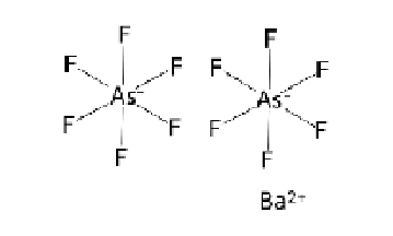 F[As-](F)(F)(F)(F)F.F[As-](F)(F)(F)(F)F.[Ba+2]